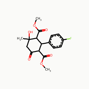 COC(=O)C1C(=O)CC(C)(O)C(C(=O)OC)C1c1ccc(F)cc1